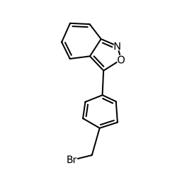 BrCc1ccc(-c2onc3ccccc23)cc1